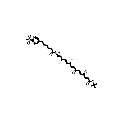 CC(C)(C)OC(=O)C=CC(=O)C=CC(=O)C=CC(=O)C=CC(=O)C=CNC(=O)CCCCCc1cnc(S(C)(=O)=O)nc1